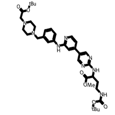 COC(=O)C(CCNC(=O)OC(C)(C)C)Nc1ncc(-c2ccnc(Nc3cccc(CN4CCN(CC(=O)OC(C)(C)C)CC4)c3)c2)cn1